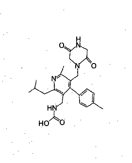 Cc1ccc(-c2c(CN3CC(=O)NCC3=O)c(C)nc(CC(C)C)c2CNC(=O)O)cc1